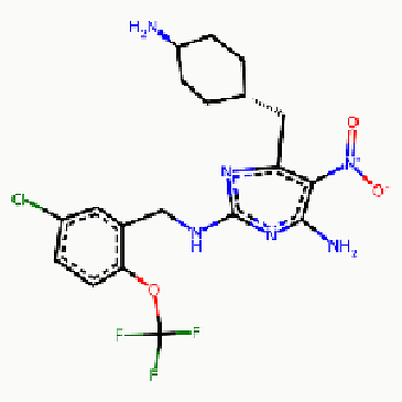 Nc1nc(NCc2cc(Cl)ccc2OC(F)(F)F)nc(C[C@H]2CC[C@H](N)CC2)c1[N+](=O)[O-]